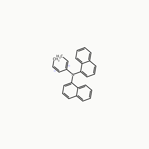 C/C=C\C(=C/C)N(c1cccc2ccccc12)c1cccc2ccccc12